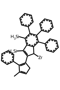 CC1=CCC(C2=C([SiH3])c3c([SiH3])c(-c4ccccc4)c(-c4ccccc4)c(-c4ccccc4)c3[CH]2[Zr])=C1c1ccccc1